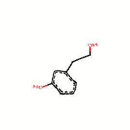 OC[CH]c1cccc(O)c1